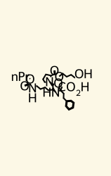 CCCOC(=O)NCCCCC(NC(CCc1ccccc1)C(=O)O)C(=O)N1CCCC1C(=O)OCCCCO